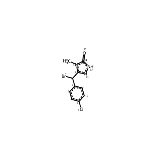 Cn1c(C(Br)c2ccc(Cl)cc2)n[nH]c1=O